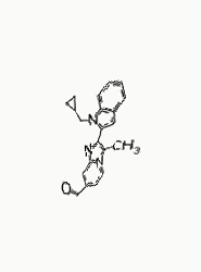 Cc1c(-c2cc3ccccc3n2CC2CC2)nc2cc(C=O)ccn12